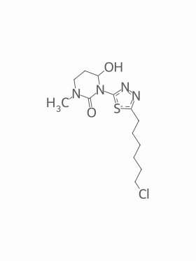 CN1CCC(O)N(c2nnc(CCCCCCCl)s2)C1=O